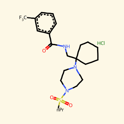 CCCS(=O)(=O)N1CCN(C2(CNC(=O)c3cccc(C(F)(F)F)c3)CCCCC2)CC1.Cl